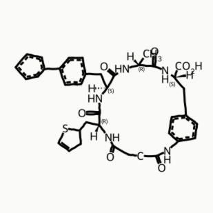 C[C@H]1NC(=O)[C@H](Cc2ccc(-c3ccccc3)cc2)NC(=O)[C@@H](CC2CC=CS2)NC(=O)CCC(=O)Nc2ccc(cc2)C[C@@H](C(=O)O)NC1=O